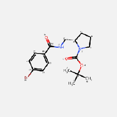 CC(C)(C)OC(=O)N1CCC[C@H]1CNC(=O)c1ccc(Br)cc1